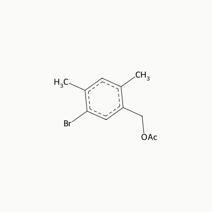 CC(=O)OCc1cc(Br)c(C)cc1C